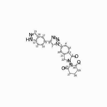 O=C1c2ccc(-n3cc(-c4ccc5[nH]ncc5c4)nn3)cc2CN1N1C(=O)CCCC1=O